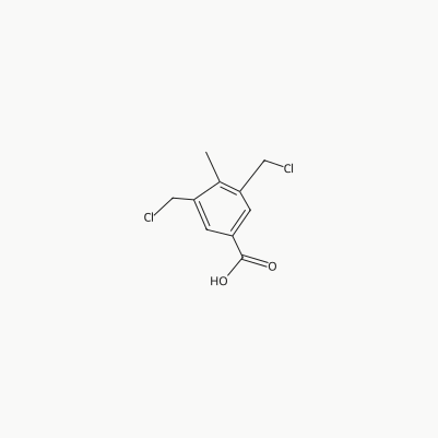 Cc1c(CCl)cc(C(=O)O)cc1CCl